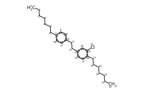 CCCCCCCc1ccc(CCc2ccc(CCCCCCC)c(Cl)c2)cc1